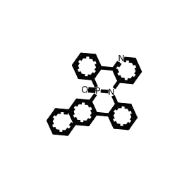 O=P12c3cc4ccccc4cc3-c3ccccc3N1c1cccnc1-c1ccccc12